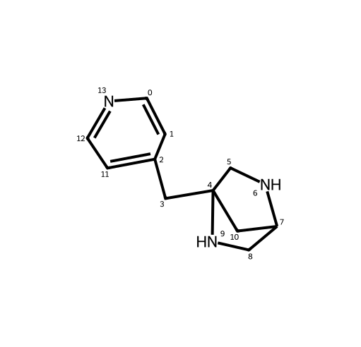 c1cc(CC23CNC(CN2)C3)ccn1